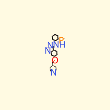 CN1CCC(COc2ccc3c(Nc4ccccc4P(C)C)ncnc3c2)CC1